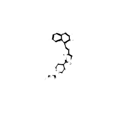 CC(C)(C)OC(=O)N1CCC(c2nc(/C=C/c3cccc4ccccc34)cs2)CC1